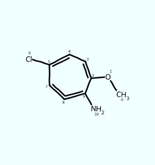 COC1=CC=C(Cl)C=C=C1N